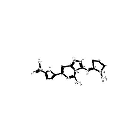 Cc1nc(-c2ccc([N+](=O)[O-])o2)cc2nnc(N=C3CCCN3C)n12